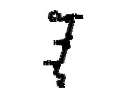 CC/C=C\C/C=C\C/C=C\C/C=C\C/C=C\CCCC(=O)OC(C/C=C\CCCCCCCCOC(=O)CCN(CCC(=O)OCCCCCCCC/C=C\CC(CCCCCC)OC(=O)CCC/C=C\C/C=C\C/C=C\C/C=C\C/C=C\CC)CC(O)CO)CCCCCC